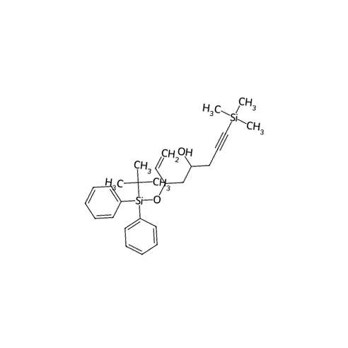 C=CC(CC(O)CC#C[Si](C)(C)C)O[Si](c1ccccc1)(c1ccccc1)C(C)(C)C